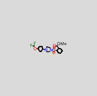 COC(=O)c1ccccc1S(=O)(=O)N1CCN(c2ccc(OC(F)F)cc2)CC1